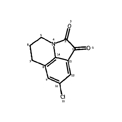 O=C1C(=O)N2CCCc3cc(Cl)cc1c32